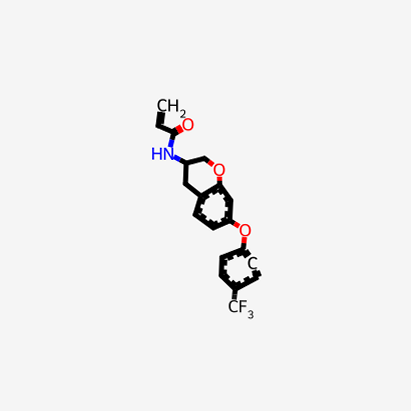 C=CC(=O)NC1COc2cc(Oc3ccc(C(F)(F)F)cc3)ccc2C1